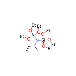 C=CC(C)N([Si](OCC)(OCC)OCC)[Si](OCC)(OCC)OCC